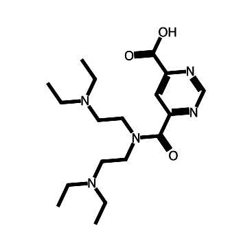 CCN(CC)CCN(CCN(CC)CC)C(=O)c1cc(C(=O)O)ncn1